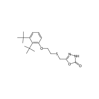 CC(C)(C)c1cccc(OCCSCc2n[nH]c(=O)o2)c1C(C)(C)C